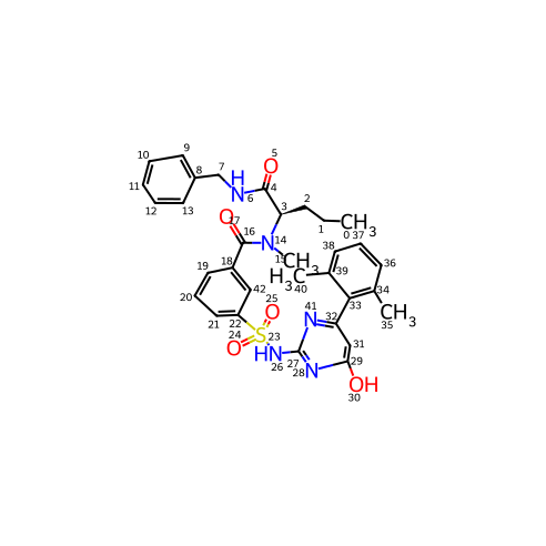 CCC[C@H](C(=O)NCc1ccccc1)N(C)C(=O)c1cccc(S(=O)(=O)Nc2nc(O)cc(-c3c(C)cccc3C)n2)c1